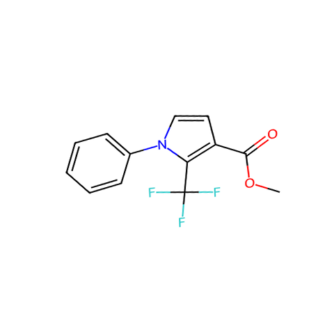 COC(=O)c1ccn(-c2ccccc2)c1C(F)(F)F